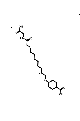 O=C(O)CNC(=O)CCCCCCCCCCOC1CCC(C(=O)O)CC1